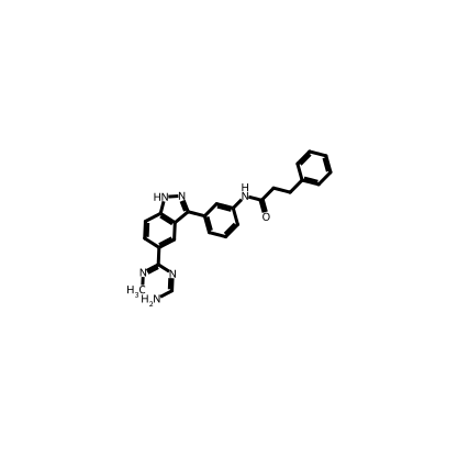 C/N=C(\N=C/N)c1ccc2[nH]nc(-c3cccc(NC(=O)CCc4ccccc4)c3)c2c1